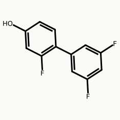 Oc1ccc(-c2cc(F)cc(F)c2)c(F)c1